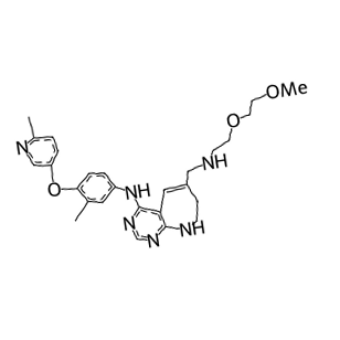 COCCOCCNCC1=Cc2c(ncnc2Nc2ccc(Oc3ccc(C)nc3)c(C)c2)NCC1